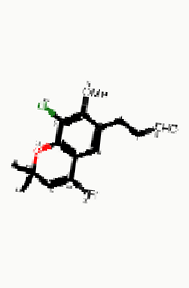 COc1c(CCC=O)cc2c(c1Cl)OC(C)(C)C=C2C(C)C